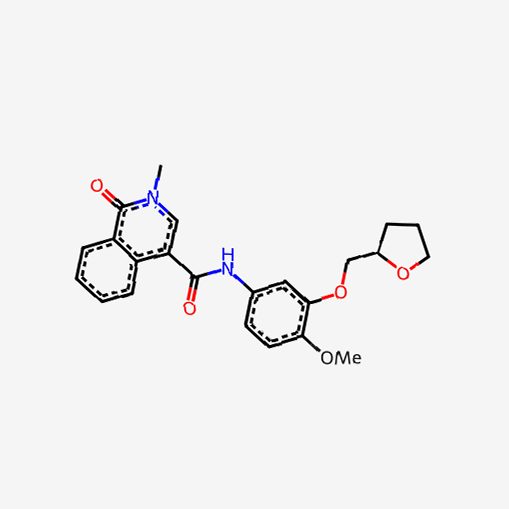 COc1ccc(NC(=O)c2cn(C)c(=O)c3ccccc23)cc1OCC1CCCO1